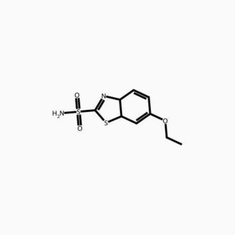 CCOC1=CC2SC(S(N)(=O)=O)=NC2C=C1